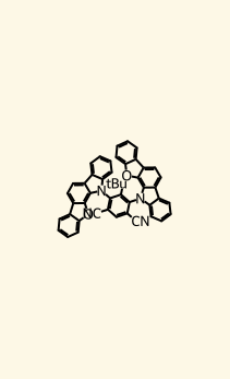 CC(C)(C)c1c(-n2c3ccccc3c3ccc4c5ccccc5oc4c32)c(C#N)cc(C#N)c1-n1c2ccccc2c2ccc3c4ccccc4oc3c21